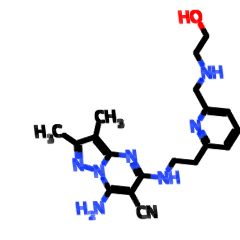 Cc1nn2c(N)c(C#N)c(NCCc3cccc(CNCCO)n3)nc2c1C